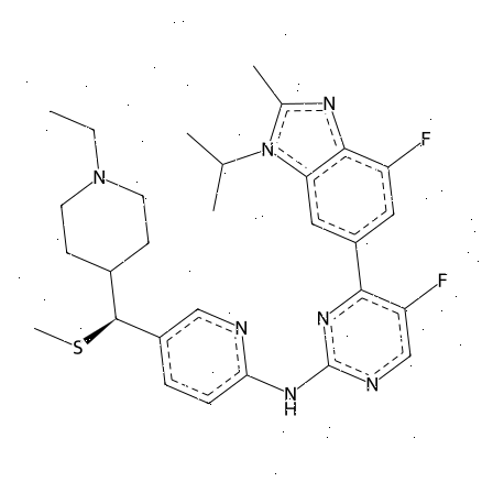 CCN1CCC([C@H](SC)c2ccc(Nc3ncc(F)c(-c4cc(F)c5nc(C)n(C(C)C)c5c4)n3)nc2)CC1